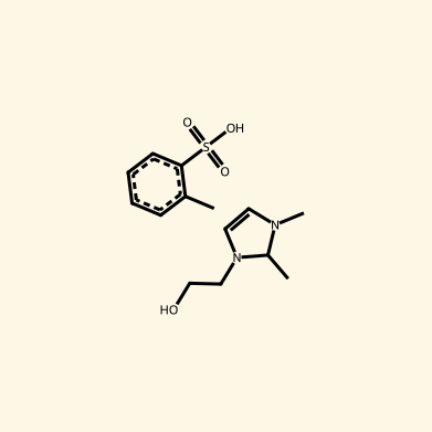 CC1N(C)C=CN1CCO.Cc1ccccc1S(=O)(=O)O